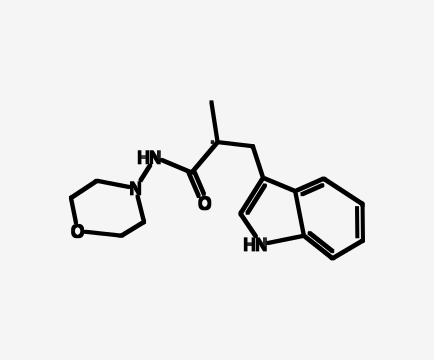 C[C](Cc1c[nH]c2ccccc12)C(=O)NN1CCOCC1